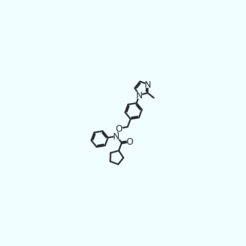 Cc1nccn1-c1ccc(CON(C(=O)C2CCCC2)c2ccccc2)cc1